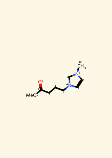 COC(=O)CCCN1C=CN(C)C1